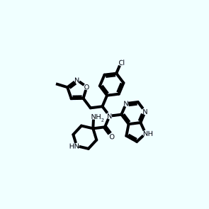 Cc1cc(CC(c2ccc(Cl)cc2)N(C(=O)C2(N)CCNCC2)c2ncnc3[nH]ccc23)on1